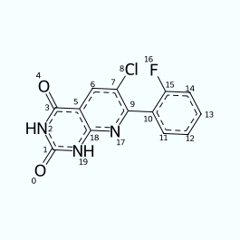 O=c1[nH]c(=O)c2cc(Cl)c(-c3ccccc3F)nc2[nH]1